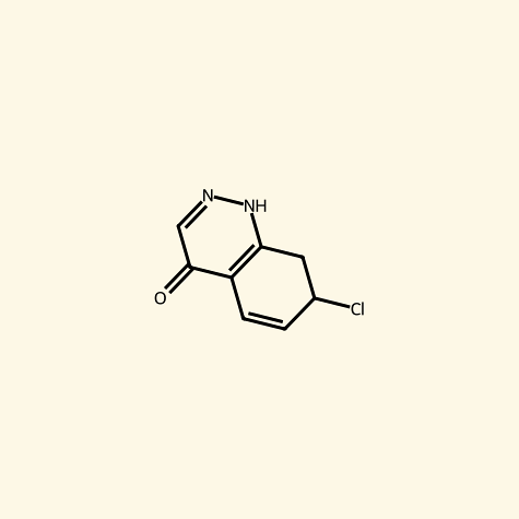 O=c1cn[nH]c2c1C=CC(Cl)C2